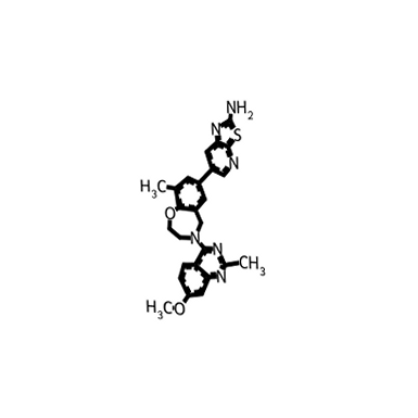 COc1ccc2c(N3CCOc4c(C)cc(-c5cnc6sc(N)nc6c5)cc4C3)nc(C)nc2c1